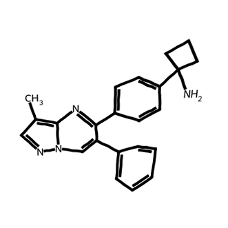 Cc1cnn2cc(-c3ccccc3)c(-c3ccc(C4(N)CCC4)cc3)nc12